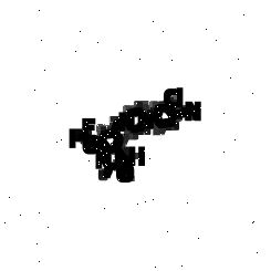 Cc1nc2c(OC(F)F)cc(CN3CCN(c4ccc(C#N)c(Cl)c4)CC3)cc2[nH]c1=O